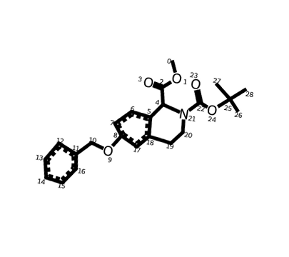 COC(=O)C1c2ccc(OCc3ccccc3)cc2CCN1C(=O)OC(C)(C)C